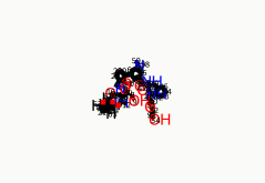 COc1c(CN2O[C@@H](CO)[C@H](C(C)C)[C@H]2C(=O)N[C@H]2C[C@H]3C[C@@H]([C@@H]2C)C3(C)C)cccc1-c1cc(C(=O)N[C@@H](Cc2ccccc2)C(=O)NCCOCCO)cc(N(C)C)c1